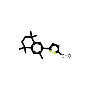 Cc1cc2c(cc1-c1ccc(C=O)s1)C(C)(C)CCC2(C)C